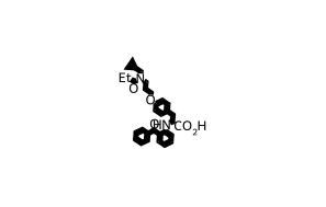 CCC(=O)N(CCCOc1ccc(C[C@H](Nc2ccccc2C(=O)c2ccccc2)C(=O)O)cc1)CC1CC1